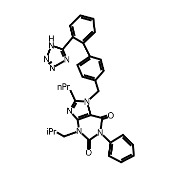 CCCc1nc2c(c(=O)n(-c3ccccc3)c(=O)n2CC(C)C)n1Cc1ccc(-c2ccccc2-c2nnn[nH]2)cc1